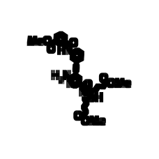 COC(=O)CCCC[SH](O)(CCCCC(=O)OC)=NC(=O)c1cnc(N)c(C#Cc2cccc(NC(=O)c3cccc(C(=O)OC)c3)c2)c1